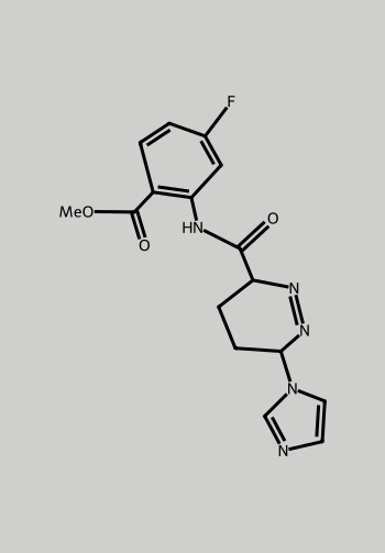 COC(=O)c1ccc(F)cc1NC(=O)C1CCC(n2ccnc2)N=N1